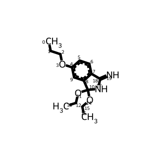 CCCOc1ccc2c(c1)C(OCC)(OCC)NC2=N